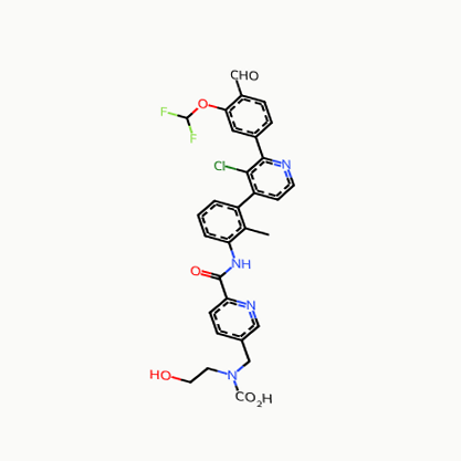 Cc1c(NC(=O)c2ccc(CN(CCO)C(=O)O)cn2)cccc1-c1ccnc(-c2ccc(C=O)c(OC(F)F)c2)c1Cl